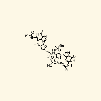 COC[C@H]1O[C@@H](n2cnc3c(=O)[nH]c(NC(=O)C(C)C)nc32)[C@H](O[Si](C)(C)C(C)(C)C)[C@@H]1NP(=O)(OCCC#N)OC[C@@H]1C[C@@H](O)[C@H](n2cnc3c(=O)[nH]c(NC(=O)C(C)C)nc32)O1